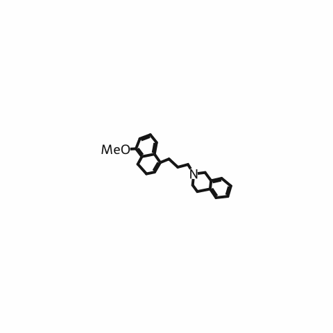 COc1cccc2c1CCC=C2CCCN1CCc2ccccc2C1